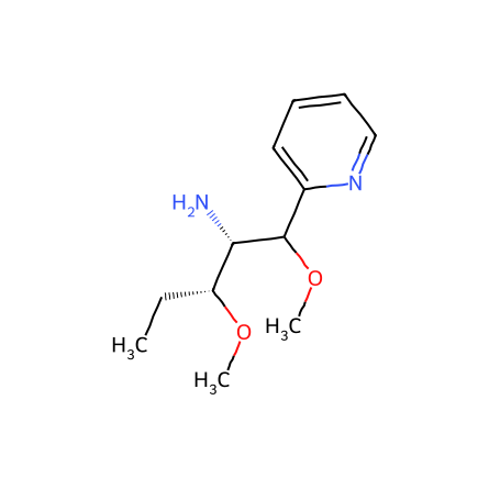 CC[C@@H](OC)[C@H](N)C(OC)c1ccccn1